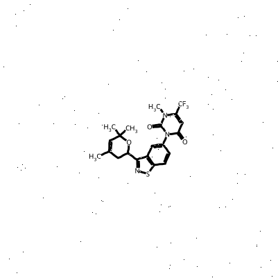 CC1=CC(C)(C)OC(c2nsc3ccc(-n4c(=O)cc(C(F)(F)F)n(C)c4=O)cc23)C1